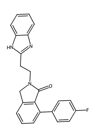 O=C1c2c(cccc2-c2ccc(F)cc2)CN1CCc1nc2ccccc2[nH]1